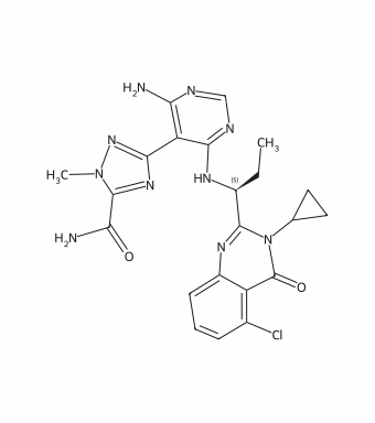 CC[C@H](Nc1ncnc(N)c1-c1nc(C(N)=O)n(C)n1)c1nc2cccc(Cl)c2c(=O)n1C1CC1